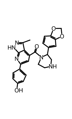 Cc1n[nH]c2nc(-c3ccc(O)cc3)cc(C(=O)N3CCNCC3c3ccc4c(c3)OCO4)c12